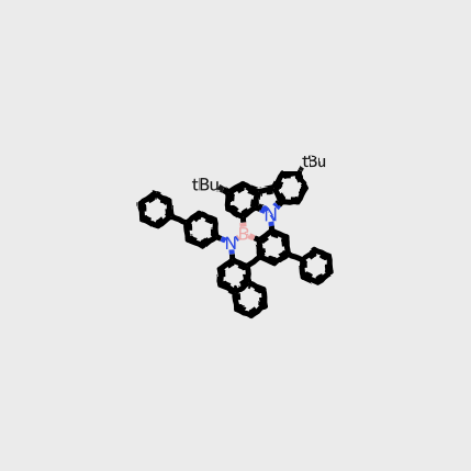 CC(C)(C)c1ccc2c(c1)c1cc(C(C)(C)C)cc3c1n2-c1cc(-c2ccccc2)cc2c1B3N(c1ccc(-c3ccccc3)cc1)c1ccc3ccccc3c1-2